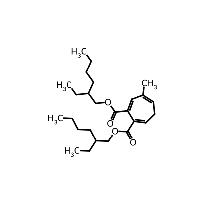 CCCCC(CC)COC(=O)C1=CCC=C(C)C=C1C(=O)OCC(CC)CCCC